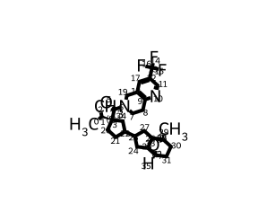 CC(C)[C@]1(C(=O)N2CCc3ncc(C(F)(F)F)cc3C2)CCC(C2CC3C(C2)[C@]2(C)CC[C@@H]3O2)C1